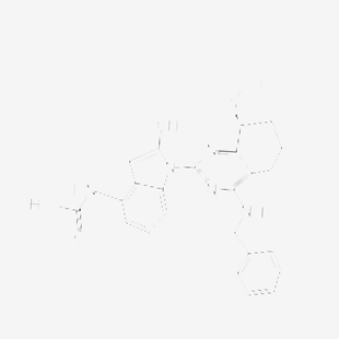 CO[C@H]1CCCc2c(NCc3ccccc3)nc(-n3c(C)cc4c(NC(C)=O)cccc43)nc21